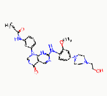 C=CC(=O)Nc1cccc(-n2cnc(=O)c3cnc(Nc4ccc(N5CCN(CCO)CC5)cc4OC)nc32)c1